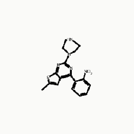 Cc1cc2c(-c3ccccc3[N+](=O)[O-])nc(N3CCNCC3)nc2s1